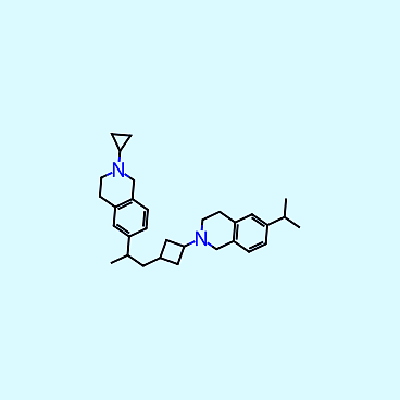 CC(C)c1ccc2c(c1)CCN(C1CC(CC(C)c3ccc4c(c3)CCN(C3CC3)C4)C1)C2